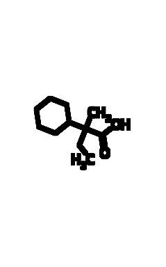 CCC(C)(C(=O)O)C1CCCCC1